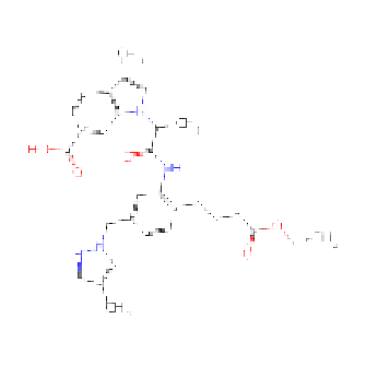 CCOC(=O)CCCc1ccc(Cn2cc(C)cn2)cc1NC(=O)C(C)n1cc(C)c2ccc(C(=O)O)cc21